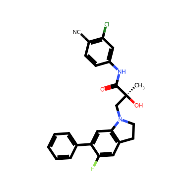 C[C@](O)(CN1CCc2cc(F)c(-c3ccccc3)cc21)C(=O)Nc1ccc(C#N)c(Cl)c1